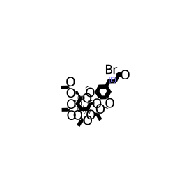 COc1cc(/C=C/C(=O)Br)cc(OC)c1O[C@@H]1O[C@H](COC(C)=O)[C@@H](OC(C)=O)[C@H](OC(C)=O)[C@H]1OC(C)=O